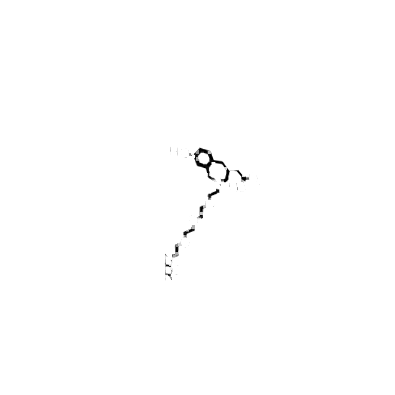 COC(=O)C[C@@H]1Cc2ccc(O)cc2CN(CCOCCOCCOCCN=[N+]=[N-])C1=O